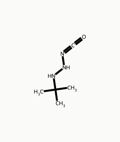 CC(C)(C)NNN=C=O